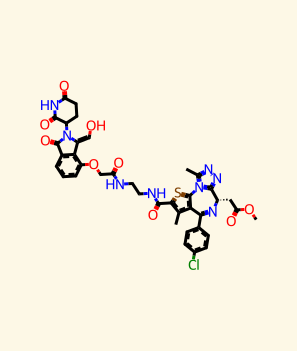 COC(=O)C[C@@H]1N=C(c2ccc(Cl)cc2)c2c(sc(C(=O)NCCNC(=O)COc3cccc4c3/C(=C/O)N(C3CCC(=O)NC3=O)C4=O)c2C)-n2c(C)nnc21